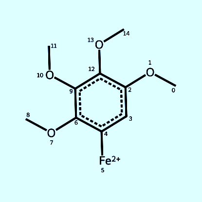 COc1c[c]([Fe+2])c(OC)c(OC)c1OC